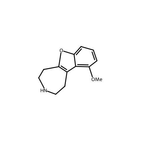 COc1cccc2oc3c(c12)CCNCC3